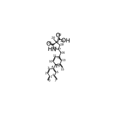 C=C/C=C\C(=C/C=C)C(=C)/C=C\C(=C/C=C)C[C@@H]1CC(C)(C(=O)O)C(=O)N1